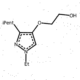 CCCC(C)c1nn(CC)cc1OCCO